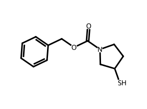 O=C(OCc1ccccc1)N1CCC(S)C1